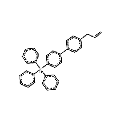 C=CCc1ccc(-c2ccc([PH](c3ccccc3)(c3ccccc3)c3ccccc3)cc2)cc1